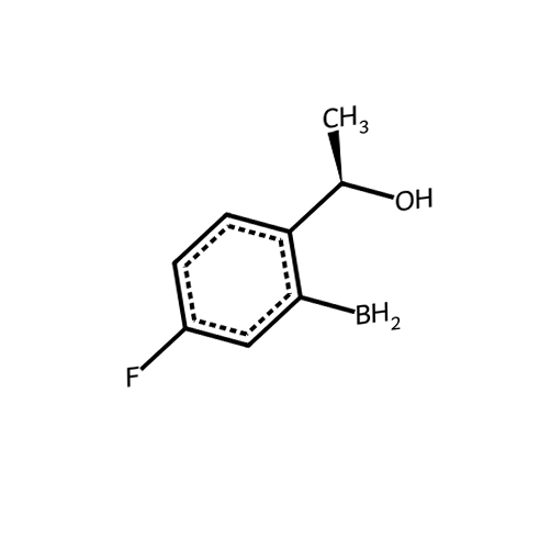 Bc1cc(F)ccc1[C@@H](C)O